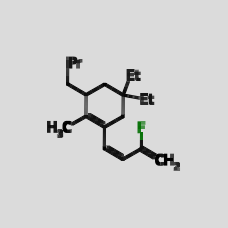 C=C(F)/C=C\C1=C(C)C(CC(C)C)CC(CC)(CC)C1